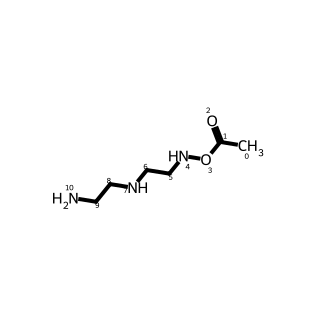 CC(=O)ONCCNCCN